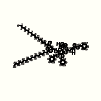 CCCCCCCCCCCCCCCCCC(=O)OCC(COC1O[C@H](CS(=O)(=O)O)[C@@H](OC(=O)CCNC(=O)OCc2ccccc2)[C@H](OCc2ccccc2)[C@H]1OCc1ccccc1)OC(=O)CCCCCCCCCCCCCCCCC